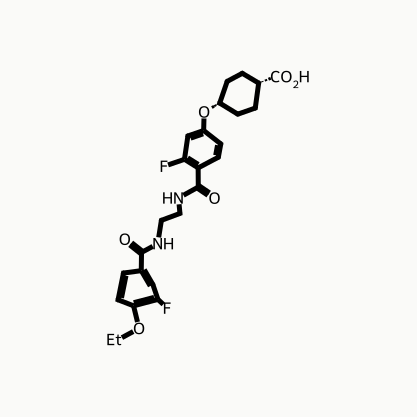 CCOc1ccc(C(=O)NCCNC(=O)c2ccc(O[C@H]3CC[C@@H](C(=O)O)CC3)cc2F)cc1F